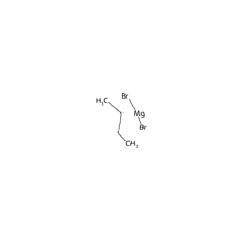 C[CH]CC.[Br][Mg][Br]